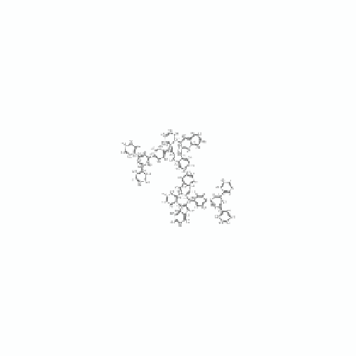 c1ccc(-c2cc(-c3ccc(N4c5cc6ccc(-c7ccc8c(c7)cc7n8-c8cc9ccccc9cc8-c8ccccc8N7c7ccc(-c8cc(-c9ccccc9)nc(-c9ccccc9)n8)cc7)cc6cc5-c5ccccc5-n5c4cc4ccccc45)cc3)nc(-c3ccccc3)n2)cc1